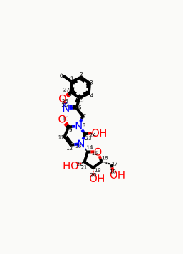 Cc1cccc2c(CN3C(=O)C=CN([C@@H]4O[C@H](CO)[C@H](O)[C@@H]4O)C3O)noc12